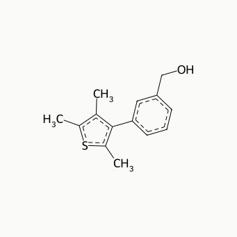 Cc1sc(C)c(-c2cccc(CO)c2)c1C